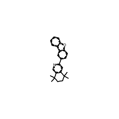 CC1(C)CCC(C)(C)c2cc(-c3ccc4oc5ccccc5c4c3)ncc21